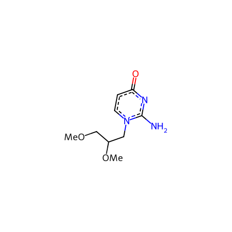 COCC(Cn1ccc(=O)nc1N)OC